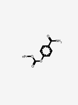 CCCOC(=O)Oc1ccc(C(N)=O)cc1